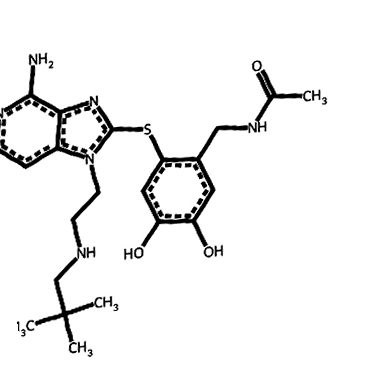 CC(=O)NCc1cc(O)c(O)cc1Sc1nc2c(N)nccc2n1CCNCC(C)(C)C